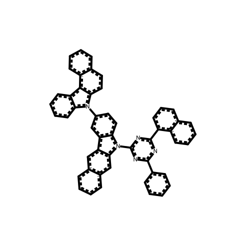 c1ccc(-c2nc(-c3cccc4ccccc34)nc(-n3c4ccc(-n5c6ccccc6c6c7ccccc7ccc65)cc4c4cc5ccccc5cc43)n2)cc1